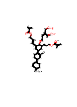 C=C(C)C(=O)OCCCC1CC(C2CCC(C3CCC(CCCCCC)CC3)CC2CC)CC(CCCOC(=O)C(=C)C)C1OCCC(CO)CO